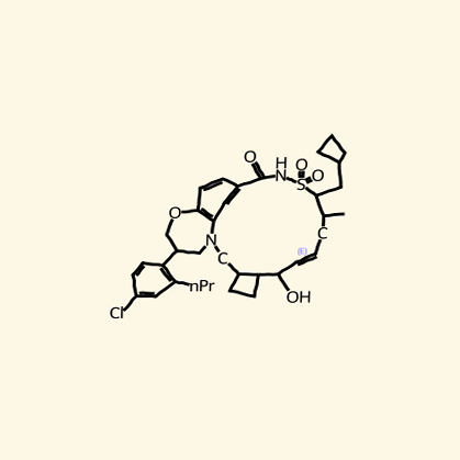 CCCc1cc(Cl)ccc1C1COc2ccc3cc2N(C1)CC1CCC1C(O)/C=C/CC(C)C(CC1CCC1)S(=O)(=O)NC3=O